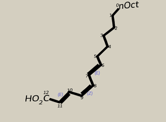 CCCCCCCCCCCCC/C=C/C=C\C=C\C(=O)O